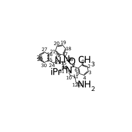 Cc1ccccc1C(=O)N(CCCN)[C@@H](c1nc2ccccc2n1Cc1ccccc1)C(C)C